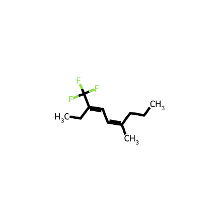 CCC/C(C)=C\C=C(/CC)C(F)(F)F